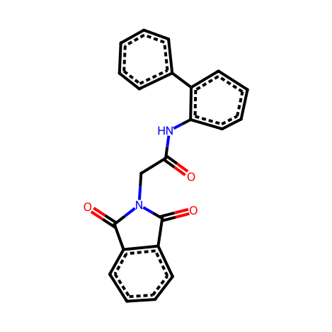 O=C(CN1C(=O)c2ccccc2C1=O)Nc1ccccc1-c1ccccc1